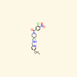 Cc1ccc(CNCC2(F)CCN(C(=O)c3ccc([N+](=O)[O-])c(Cl)c3)CC2)nc1